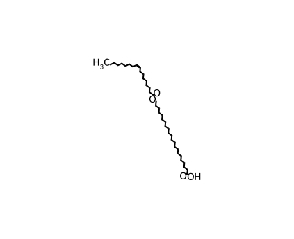 CCCCCCCC/C=C\CCCCCCCC(=O)OCCCCCCCCCCCCCCCCCCCCCC(=O)O